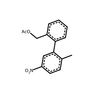 CC(=O)OCc1ccccc1-c1cc([N+](=O)[O-])ccc1C